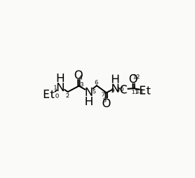 CCNCC(=O)NCC(=O)NCC(=O)CC